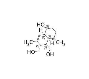 CC1=C[C@@H]2[C@H]([C@H](CO)[C@@H]1CO)[C@@H](C)CC[C@@H]2O